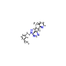 Cc1cccc(CCNc2ncnc3cc(-c4ncccc4C(F)(F)F)ccc23)c1